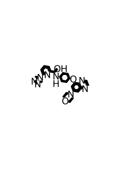 OC(N[C@H]1CC[C@@H](Oc2cc(N3CCOCC3)cc3nccnc23)CC1)c1cccc(-n2cnnc2)n1